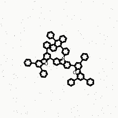 c1ccc(-c2cc(-c3ccccc3)c3oc4c(-c5ccc6c7ccc(-c8cc(-c9ccccc9)cc9c8oc8c(-c%10ccccc%10)cc(-c%10ccccc%10)cc89)cc7n(-c7cccc(-c8c9ccccc9c(-c9ccccc9)c9ccccc89)c7)c6c5)cc(-c5ccccc5)cc4c3c2)cc1